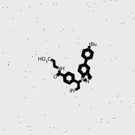 CC(C)CC(c1ccc(C(=O)NCCC(=O)O)cc1)n1ncc2cc(-c3ccc(C(C)(C)C)cc3)ccc21